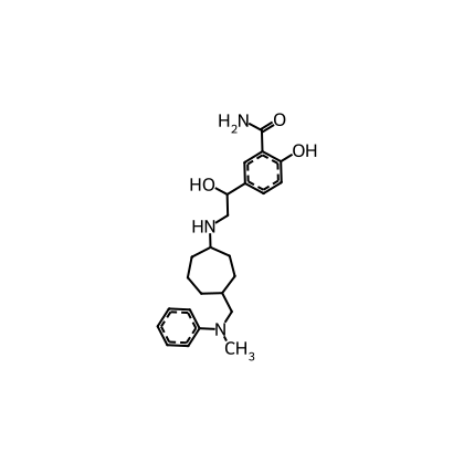 CN(CC1CCCC(NCC(O)c2ccc(O)c(C(N)=O)c2)CC1)c1ccccc1